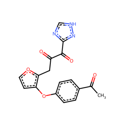 CC(=O)c1ccc(Oc2ccoc2CC(=O)C(=O)c2nc[nH]n2)cc1